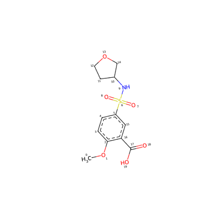 COc1ccc(S(=O)(=O)NC2CCOC2)cc1C(=O)O